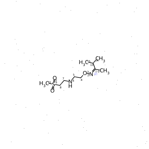 C/C(=N/OCCNCCS(C)(=O)=O)C(C)C